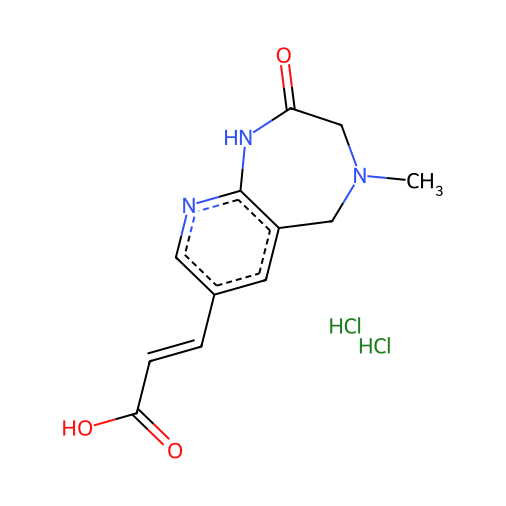 CN1CC(=O)Nc2ncc(/C=C/C(=O)O)cc2C1.Cl.Cl